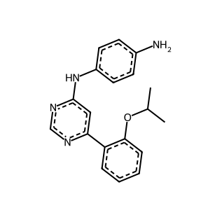 CC(C)Oc1ccccc1-c1cc(Nc2ccc(N)cc2)ncn1